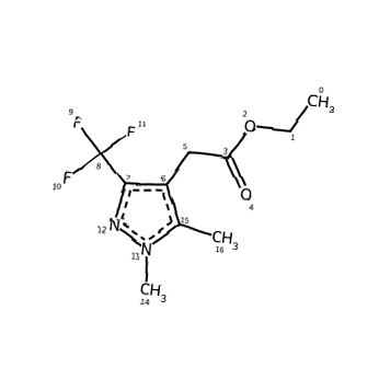 CCOC(=O)Cc1c(C(F)(F)F)nn(C)c1C